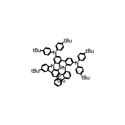 CC(C)(C)c1ccc(N(c2ccc(C(C)(C)C)cc2)c2ccc3c(c2)N(c2cccc4c2oc2ccccc24)B2c4c-3cc(N(c3ccc(C(C)(C)C)cc3)c3ccc(C(C)(C)C)cc3)cc4-n3c4ccc(C(C)(C)C)cc4c4cc(C(C)(C)C)cc2c43)cc1